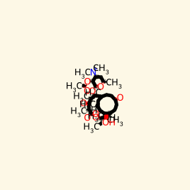 CC[C@H]1OC(=O)[C@H](C)C(=O)[C@H](C)[C@@H](O[C@@H]2O[C@H](C)C[C@H](N(C)C)[C@H]2OC(C)=O)[C@]2(C)CCC(=O)CC[C@H]([C@@H](C)C(=O)[C@H](C)C2)[C@]1(C)O